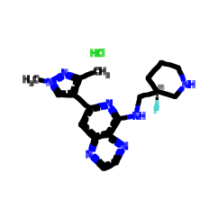 Cc1nn(C)cc1-c1cc2nccnc2c(NC[C@@]2(F)CCCNC2)n1.Cl